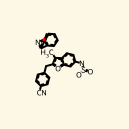 Cc1c(Cc2ccc(C#N)cc2)oc2cc(N=S(=O)=O)ccc12.c1cc2c3nc-2ccc3c1